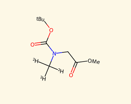 [2H]C([2H])([2H])N(CC(=O)OC)C(=O)OC(C)(C)C